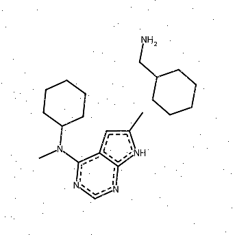 Cc1cc2c(N(C)C3CCCCC3)ncnc2[nH]1.NCC1CCCCC1